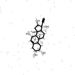 C#C[C@]1(O)[C@H](O)C[C@H]2[C@@H]3[C@@H](O)C=C4C[C@@H](O)[C@@H](O)C[C@]4(C)[C@H]3CC[C@@]21C